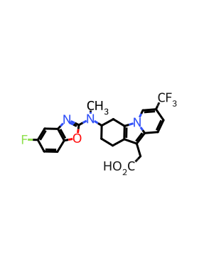 CN(c1nc2cc(F)ccc2o1)C1CCc2c(CC(=O)O)c3ccc(C(F)(F)F)cn3c2C1